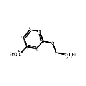 CCOC(=O)COc1cc(C(=O)OCC)ccn1